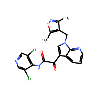 Cc1noc(C)c1Cn1cc(C(=O)C(=O)Nc2c(Cl)cncc2Cl)c2cccnc21